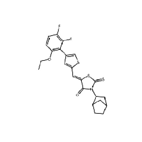 CCOc1ccc(F)c(F)c1-c1csc(C=C2SC(=S)N(C3CC4CCC3C4)C2=O)c1